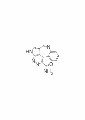 NC(=O)c1nnc2[nH]cc3c2c1-c1ccccc1N=C3